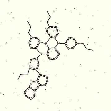 CCCc1ccc(N2c3ccc(CCC)cc3B3c4cc(CCC)ccc4N(c4ccc(CCC)c(-c5cccc6c5oc5ccccc56)c4)c4cccc2c43)cc1